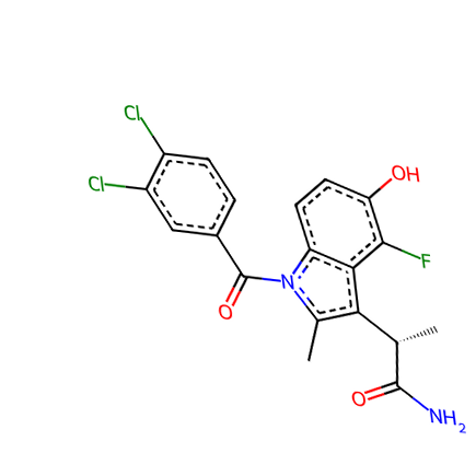 Cc1c([C@H](C)C(N)=O)c2c(F)c(O)ccc2n1C(=O)c1ccc(Cl)c(Cl)c1